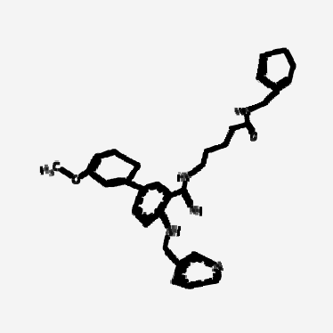 COC1=CCCC(c2ccc(NCc3cccnc3)c(C(=N)NCCCCC(=O)NCC3=CCCC=C3)c2)=C1